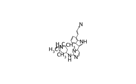 CC1(C)CC(Nc2nccc(-c3c[nH]c4c(/C=C/C#N)cccc34)n2)CC(C)(C)N1